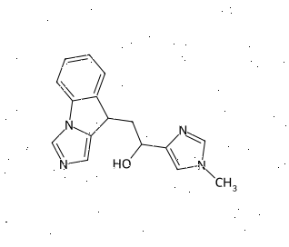 Cn1cnc(C(O)CC2c3ccccc3-n3cncc32)c1